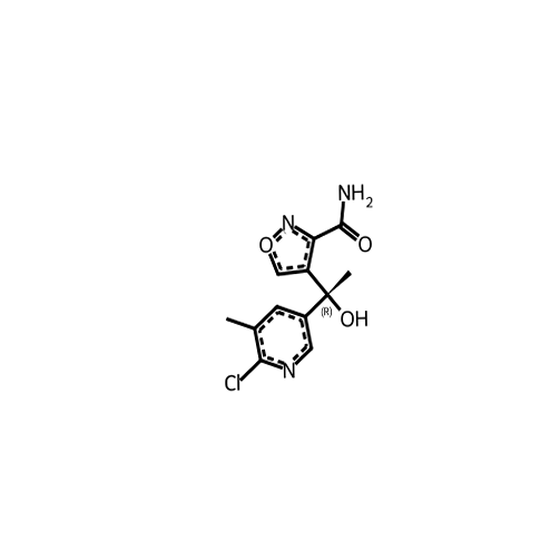 Cc1cc([C@@](C)(O)c2conc2C(N)=O)cnc1Cl